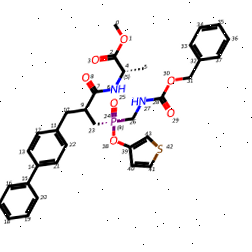 COC(=O)[C@H](C)NC(=O)C(Cc1ccc(-c2ccccc2)cc1)C[P@](=O)(CNC(=O)OCc1ccccc1)Oc1ccsc1